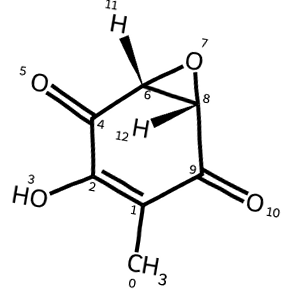 CC1=C(O)C(=O)[C@@H]2O[C@@H]2C1=O